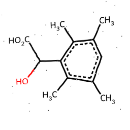 Cc1cc(C)c(C)c(C(O)C(=O)O)c1C